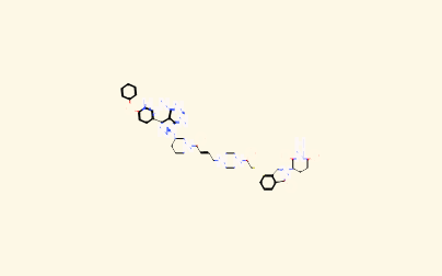 Nc1ncnc2c1c(-c1ccc(Oc3ccccc3)cc1)nn2C1CCCN(C(=O)/C=C/CN2CCN(C(=O)CSc3cccc4c3CN(C3CCC(=O)NC3=O)C4=O)CC2)C1